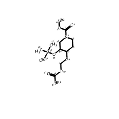 CC(C)(C)OC(=O)N1CCC(SCOC(=O)C(C)(C)C)C(O[Si](C)(C)C(C)(C)C)C1